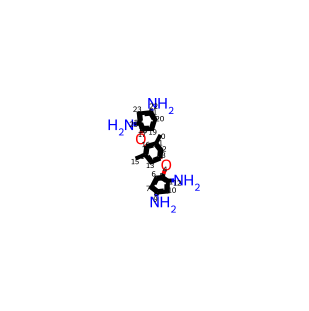 Cc1cc(Oc2ccc(N)cc2N)cc(C)c1Oc1ccc(N)cc1N